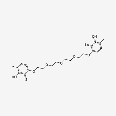 Cc1ccc(OCCOCCOCCOCCOc2ccc(C)n(O)c2=S)c(=S)n1O